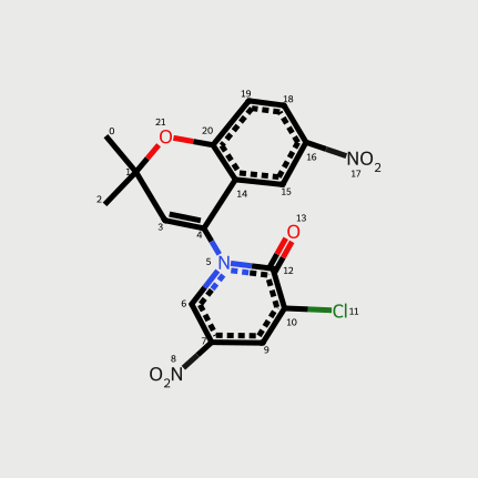 CC1(C)C=C(n2cc([N+](=O)[O-])cc(Cl)c2=O)c2cc([N+](=O)[O-])ccc2O1